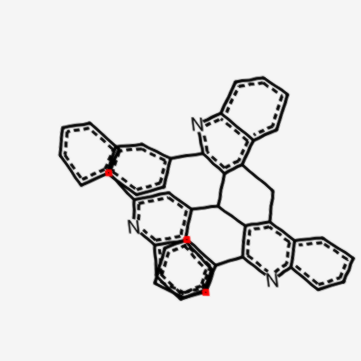 c1ccc(-c2cc(C3c4c(-c5ccccc5)nc5ccccc5c4Cc4c3c(-c3ccccc3)nc3ccccc43)c3ccccc3n2)cc1